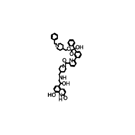 O=C(c1cccc(-c2cccc(C(O)(C(=O)OCC3CCN(Cc4ccccc4)CC3)c3ccccc3)c2)n1)N1CCC(CNCC(O)c2ccc(O)c3[nH]c(=O)ccc23)CC1